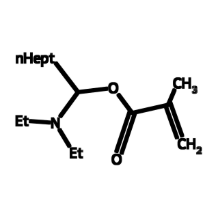 C=C(C)C(=O)OC(CCCCCCC)N(CC)CC